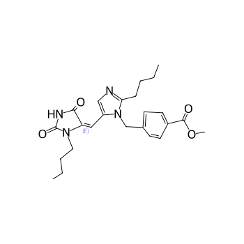 CCCCc1ncc(/C=C2\C(=O)NC(=O)N2CCCC)n1Cc1ccc(C(=O)OC)cc1